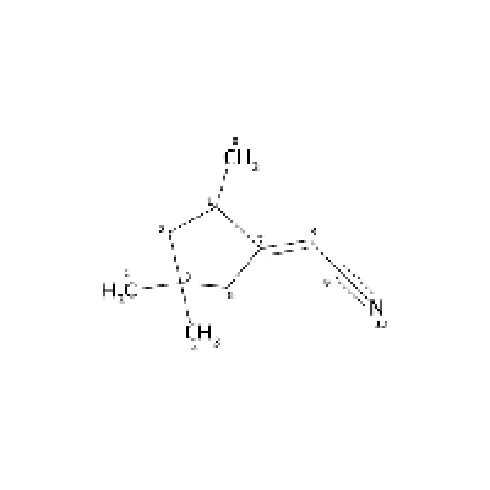 CC1CC(C)(C)CC1=CC#N